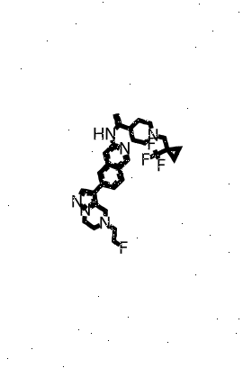 C=C(Nc1cc2cc(-c3cnn4c3CN(CCF)CC4)ccc2cn1)C1CCN(CC2(C(F)(F)F)CC2)CC1